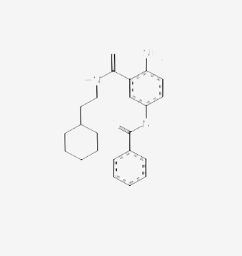 C=C(NCCC1CCCCC1)c1cc(NC(=O)c2ccccc2)ccc1N